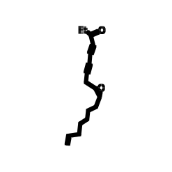 C=CCCCCCC1OC1CC#CC#CC(=O)CC